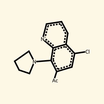 CC(=O)c1cc(Cl)c2cccnc2c1N1CCCC1